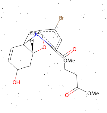 COC(=O)CCC(=O)N1CCC23C=CC(O)C[C@H]2Oc2c(OC)cc(Br)c(c23)C1